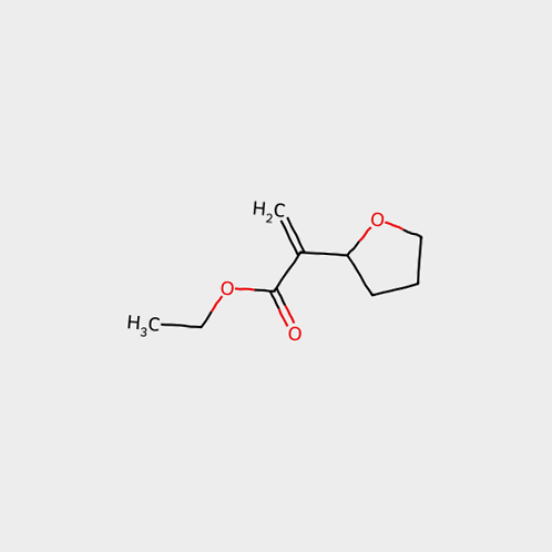 C=C(C(=O)OCC)C1CCCO1